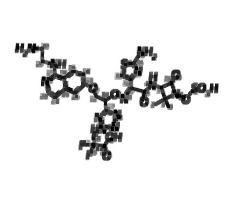 CC1(C)C(NC(=O)C(=NOC(COc2ccc3c(NCCN)nccc3c2)c2nn[nH]n2)c2csc(N)n2)C(=O)N1OS(=O)(=O)O.O=C(O)C(F)(F)F